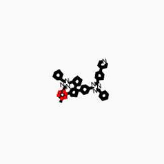 Cc1cccc(-c2ccc(-c3ccc(-c4nc(-c5ccccc5)nc(-c5ccc(-c6ccncc6)cc5)n4)cc3)c(-c3ccccc3-c3nc(-c4ccccc4)nc(-c4ccccc4)n3)c2)n1